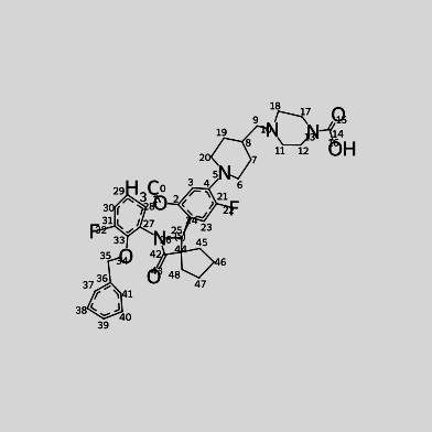 COc1cc(N2CCC(CN3CCN(C(=O)O)CC3)CC2)c(F)cc1[C@@H]1N(c2cccc(F)c2OCc2ccccc2)C(=O)C12CCCC2